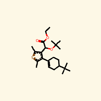 CCOC(=O)C(OC(C)(C)C)c1c(C)sc(C)c1C1=CCC(C(C)(C)C)CC1